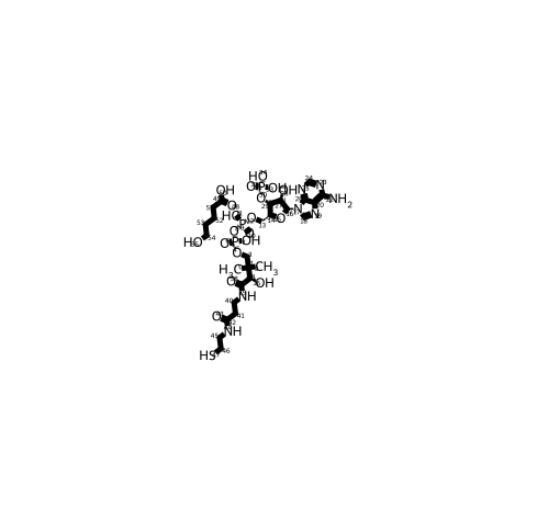 CC(C)(COP(=O)(O)OP(=O)(O)OC[C@H]1O[C@@H](n2cnc3c(N)ncnc32)[C@H](O)[C@@H]1OP(=O)(O)O)[C@@H](O)C(=O)NCCC(=O)NCCS.O=C(O)CCCCO